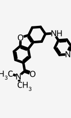 CN(C)C(=O)c1ccc2oc3c(c2c1)CC(Nc1ccncc1)CC3